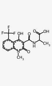 CC(NC(=O)c1c(O)c2c(C(F)(F)F)cccc2n(C)c1=O)C(=O)O